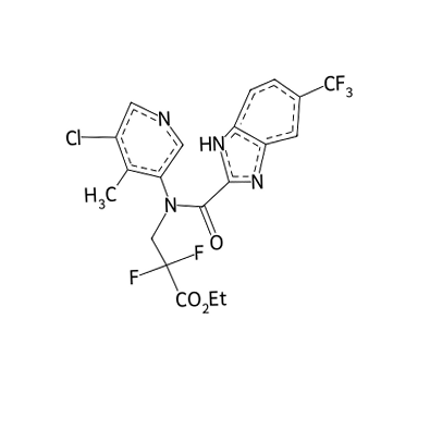 CCOC(=O)C(F)(F)CN(C(=O)c1nc2cc(C(F)(F)F)ccc2[nH]1)c1cncc(Cl)c1C